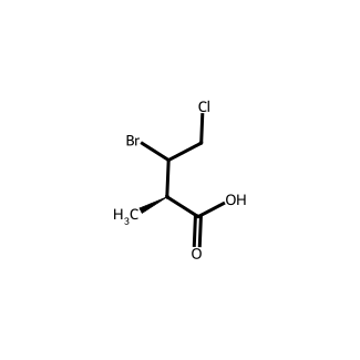 C[C@H](C(=O)O)C(Br)CCl